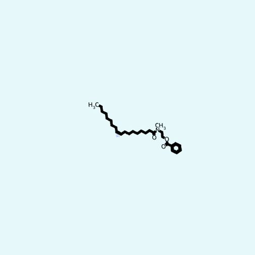 CCCCCCCC/C=C\CCCCCCCC(=O)N(C)CCOC(=O)c1ccccc1